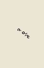 COc1cc(OCc2ccc(C(F)(F)F)cn2)ccc1-c1c(C)nc(-c2ccc(F)nc2)n1C